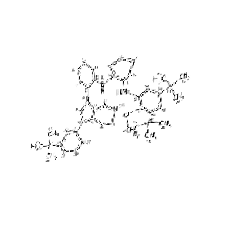 COc1c(Nc2ccccc2Nc2ccccc2-n2cc(-c3cc(C(C)(C)C)ccn3)c3ccncc32)cc(C(C)(C)C)cc1C(C)(C)C